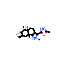 Cc1nnc(-c2c3c(nn2C)C2(C)Cc4cnoc4[C@@H](C)[C@@H]2CC3)o1